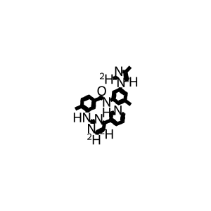 [2H]c1nc(Nc2cc(C(=O)Nc3cc(C)cc(-n4c([2H])nc(C)c4[2H])c3)ccc2C)nc(-c2cccnc2)c1[2H]